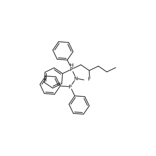 CCCC(F)C[PH](c1ccccc1)(c1ccccc1)N(C)P(c1ccccc1)c1ccccc1